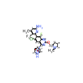 Cc1cc(N)nc(-c2c(Cl)cc3c(N4CC5CCC(C4)NC5)nc(OC[C@@H]4CCCN4C)nc3c2F)c1C(F)(F)F